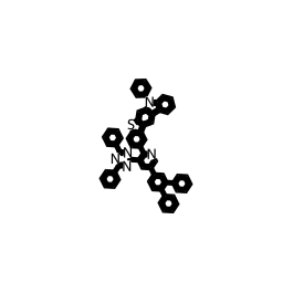 c1ccc(-c2nc(-c3ccccc3)nc(-c3cc(-c4ccc(-c5ccccc5)c(-c5ccccc5)c4)cnc3-c3ccc4sc5cc6c(cc5c4c3)c3ccccc3n6-c3ccccc3)n2)cc1